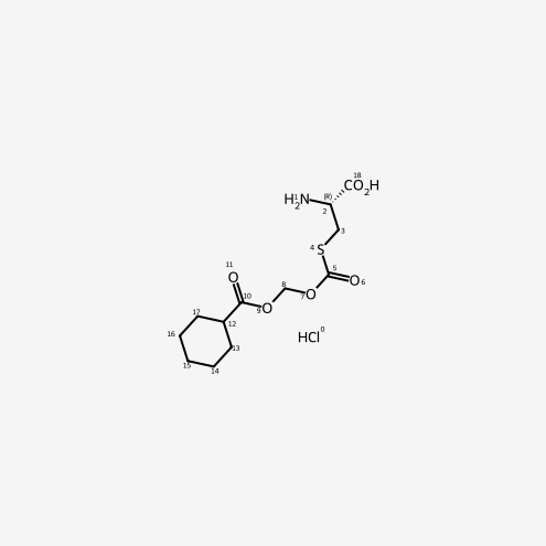 Cl.N[C@@H](CSC(=O)OCOC(=O)C1CCCCC1)C(=O)O